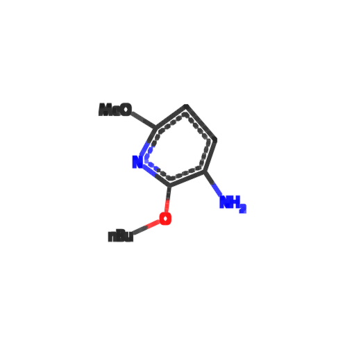 CCCCOc1nc(OC)ccc1N